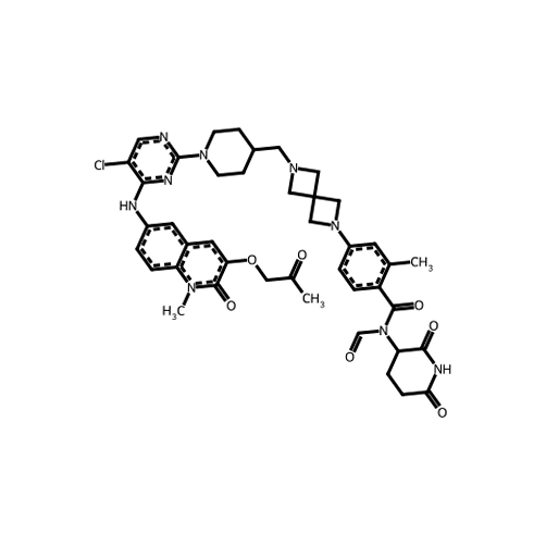 CC(=O)COc1cc2cc(Nc3nc(N4CCC(CN5CC6(C5)CN(c5ccc(C(=O)N(C=O)C7CCC(=O)NC7=O)c(C)c5)C6)CC4)ncc3Cl)ccc2n(C)c1=O